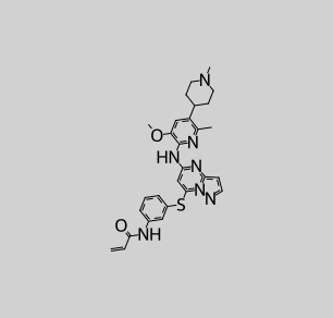 C=CC(=O)Nc1cccc(Sc2cc(Nc3nc(C)c(C4CCN(C)CC4)cc3OC)nc3ccnn23)c1